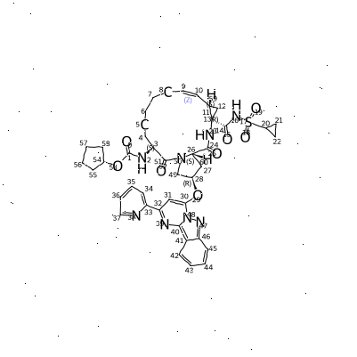 O=C(N[C@H]1CCCCC/C=C\[C@@H]2C[C@@]2(C(=O)NS(=O)(=O)C2CC2)NC(=O)[C@@H]2C[C@@H](Oc3cc(-c4ccccn4)nc4c5ccccc5nn34)CN2C1=O)OC1CCCC1